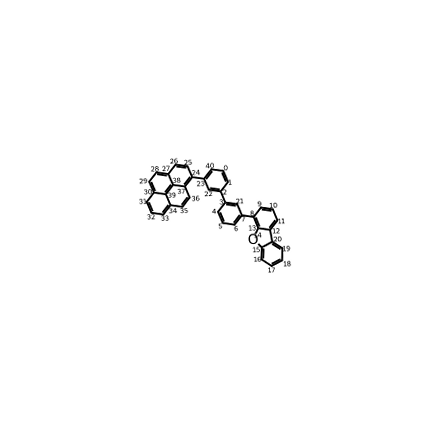 c1cc(-c2cccc(-c3cccc4c3oc3ccccc34)c2)cc(-c2ccc3ccc4cccc5ccc2c3c45)c1